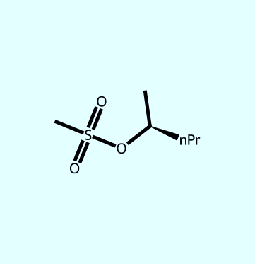 CCC[C@H](C)OS(C)(=O)=O